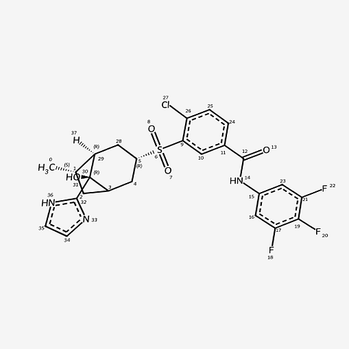 C[C@H]1CC2C[C@@H](S(=O)(=O)c3cc(C(=O)Nc4cc(F)c(F)c(F)c4)ccc3Cl)C[C@H]1[C@@]2(O)c1ncc[nH]1